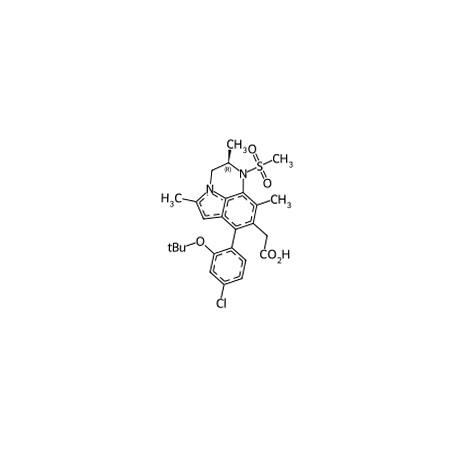 Cc1c(CC(=O)O)c(-c2ccc(Cl)cc2OC(C)(C)C)c2cc(C)n3c2c1N(S(C)(=O)=O)[C@H](C)C3